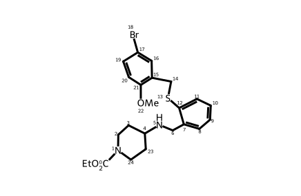 CCOC(=O)N1CCC(NCc2ccccc2SCc2cc(Br)ccc2OC)CC1